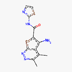 Cc1nnc2sc(C(=O)Nc3nccs3)c(N)c2c1C